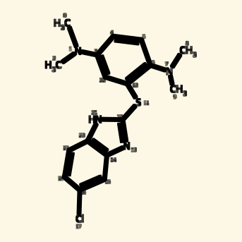 CN(C)c1ccc(N(C)C)c(Sc2nc3cc(Cl)ccc3[nH]2)c1